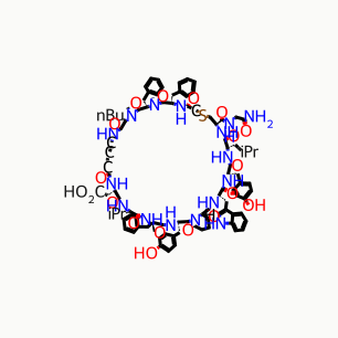 CCCC[C@H]1C(=O)NCCCCC(=O)N[C@@H](CC(=O)O)C(=O)N[C@@H](C(C)C)C(=O)N[C@@](C)(Cc2ccccc2)C(=O)N[C@@H](Cc2ccc(O)cc2)C(=O)N2CCCC[C@@H]2C(=O)N[C@@H](Cc2c[nH]c3ccccc23)C(=O)N[C@@H](Cc2ccc(O)cc2)C(=O)N[C@@H](CC(C)C)C(=O)N[C@H](C(=O)NCC(N)=O)CSCC(=O)N[C@@H](Cc2ccccc2)C(=O)N(C)[C@@H](Cc2ccccc2)C(=O)N1C